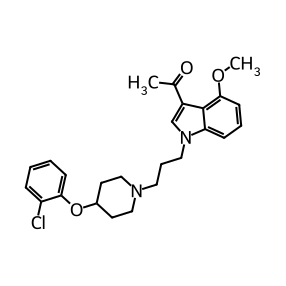 COc1cccc2c1c(C(C)=O)cn2CCCN1CCC(Oc2ccccc2Cl)CC1